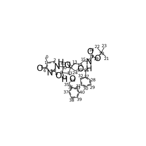 Cc1cn2c(nc1=O)O[C@@H]1[C@H]2O[C@](CCCNC(=O)OC(C)(C)C)(COCc2ccccc2)[C@H]1OCc1ccccc1